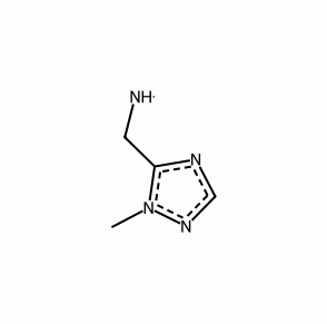 Cn1ncnc1C[NH]